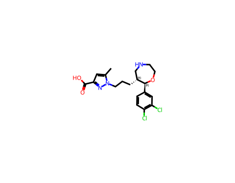 Cc1cc(C(=O)O)nn1CCC[C@@H]1CNCCO[C@H]1c1ccc(Cl)c(Cl)c1